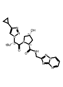 CC(C)(C)[C@@H](C(=O)N1C[C@H](O)C[C@H]1C(=O)NCc1nc2ncccn2n1)n1cc(C2CC2)nn1